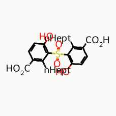 CCCCCCCc1c(C(=O)O)ccc(O)c1S(=O)(=O)c1c(O)ccc(C(=O)O)c1CCCCCCC